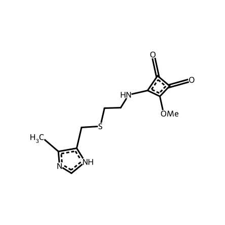 COc1c(NCCSCc2[nH]cnc2C)c(=O)c1=O